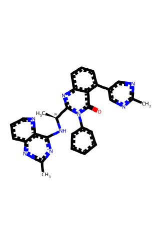 Cc1ncc(-c2cccc3nc([C@H](C)Nc4nc(C)nc5cccnc45)n(-c4ccccc4)c(=O)c23)cn1